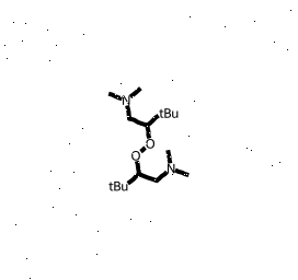 CN(C)CC(OOC(CN(C)C)C(C)(C)C)C(C)(C)C